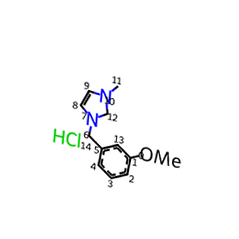 COc1cccc(CN2C=CN(C)C2)c1.Cl